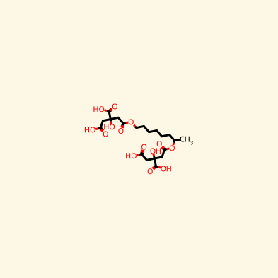 CC(CCCCCCOC(=O)CC(O)(CC(=O)O)C(=O)O)OC(=O)CC(O)(CC(=O)O)C(=O)O